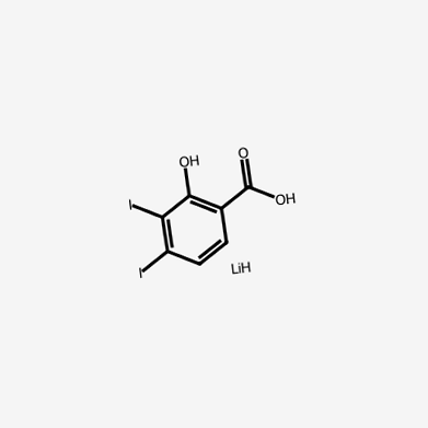 O=C(O)c1ccc(I)c(I)c1O.[LiH]